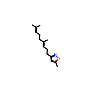 CC(C)=CCC/C(C)=C/CCc1cc(C)on1